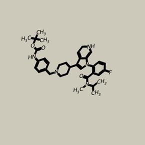 CC(C)N(C)C(=O)c1cc(F)ccc1-n1cc(C2CCN(Cc3ccc(NC(=O)OC(C)(C)C)cc3)CC2)c2c1=CNCC=2